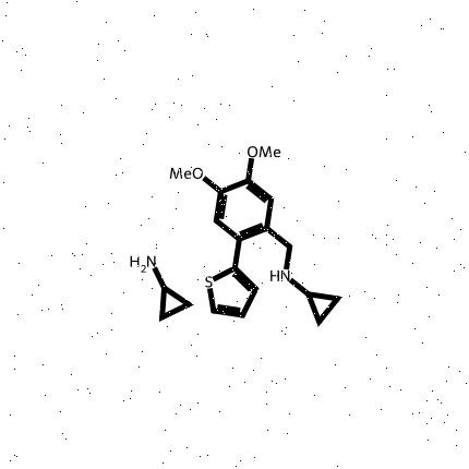 COc1cc(CNC2CC2)c(-c2cccs2)cc1OC.NC1CC1